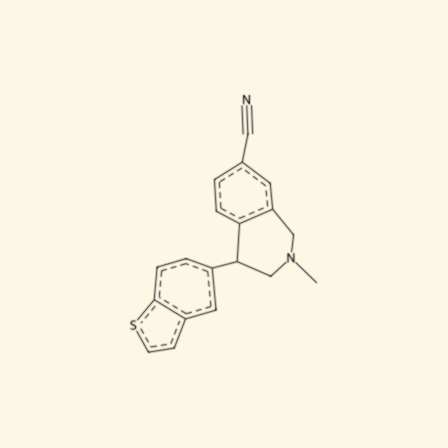 CN1Cc2cc(C#N)ccc2C(c2ccc3sccc3c2)C1